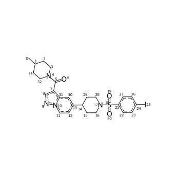 CC1CCN(C(=O)c2cnn3ccc(C4CCN(S(=O)(=O)c5ccc(I)cc5)CC4)cc23)CC1